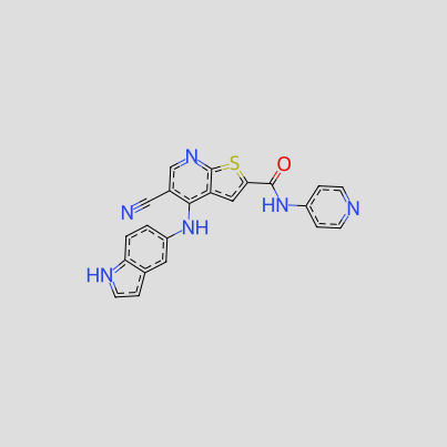 N#Cc1cnc2sc(C(=O)Nc3ccncc3)cc2c1Nc1ccc2[nH]ccc2c1